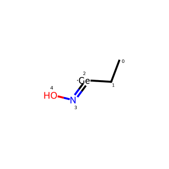 C[CH2][Ge]=[N]O